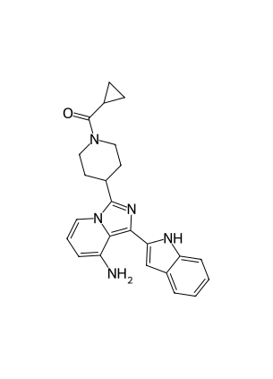 Nc1cccn2c(C3CCN(C(=O)C4CC4)CC3)nc(-c3cc4ccccc4[nH]3)c12